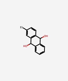 CCc1ccc2c(c1)C(O)c1ccccc1C2O